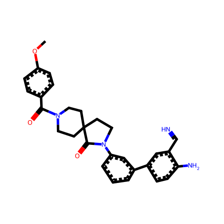 COc1ccc(C(=O)N2CCC3(CC2)CCN(c2cccc(-c4ccc(N)c(C=N)c4)c2)C3=O)cc1